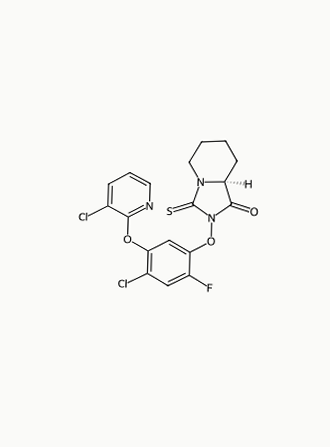 O=C1[C@@H]2CCCCN2C(=S)N1Oc1cc(Oc2ncccc2Cl)c(Cl)cc1F